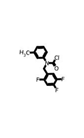 Cc1cccc(N(Cc2cc(F)c(F)cc2F)C(=O)Cl)c1